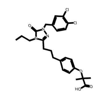 CCCn1c(CCCc2ccc(OC(C)(C)C(=O)O)cc2)nn(Cc2ccc(Cl)c(Cl)c2)c1=O